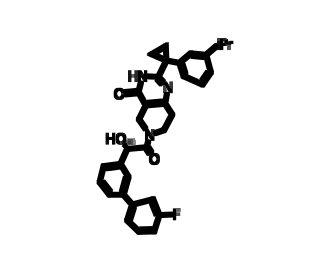 CC(C)c1cccc(C2(c3nc4c(c(=O)[nH]3)CN(C(=O)[C@H](O)c3cccc(-c5cccc(F)c5)c3)CC4)CC2)c1